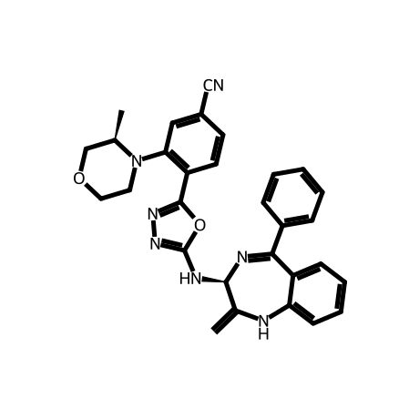 C=C1Nc2ccccc2C(c2ccccc2)=N[C@@H]1Nc1nnc(-c2ccc(C#N)cc2N2CCOC[C@H]2C)o1